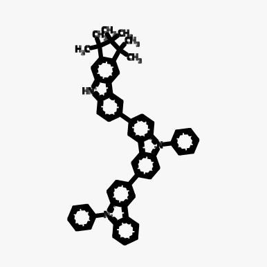 CC1(C)c2cc3[nH]c4ccc(-c5ccc6c(c5)c5cc(-c7ccc8c(c7)c7ccccc7n8-c7ccccc7)ccc5n6-c5ccccc5)cc4c3cc2C(C)(C)C1(C)C